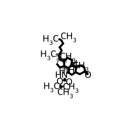 CC(C)CCC[C@@H](C)[C@H]1CC[C@H]2[C@@H]3C(NC(=O)OC(C)(C)C)CC4CC(=O)CC[C@]4(C)[C@H]3CC[C@]12C